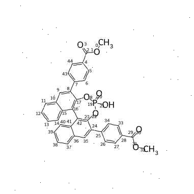 COC(=O)c1ccc(-c2cc3ccccc3c3c2OP(=O)(O)Oc2c(-c4ccc(C(=O)OC)cc4)cc4ccccc4c2-3)cc1